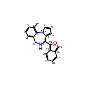 Cc1cccc2c1-n1cccc1C(c1occ3ccccc13)NC2